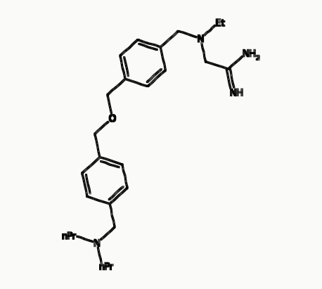 CCCN(CCC)Cc1ccc(COCc2ccc(CN(CC)CC(=N)N)cc2)cc1